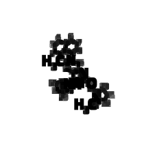 Cc1cccc2cccc(N3CCc4c(nc(OC[C@@H]5CCCN5C)nc4C4=CC5CCC4NC5)C3)c12